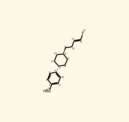 CCCCc1ccc([C@H]2CC[C@H](CCC=CF)CC2)cc1